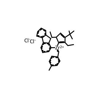 CCC1=[C](/[Zr+2](=[CH]/c2ccc(C)cc2)[c]2cccc3c2Cc2ccccc2-3)C(CC)C=C1C(C)(C)C.[Cl-].[Cl-]